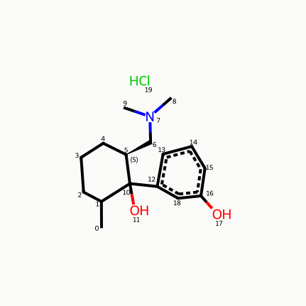 CC1CCC[C@@H](CN(C)C)C1(O)c1cccc(O)c1.Cl